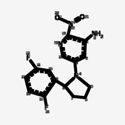 Nc1cc(N2CCCC2c2cc(F)ccc2F)cnc1[N+](=O)[O-]